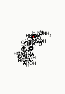 CC(C)[C@H](NC(=O)[C@@H](NC(=O)[C@@H](NC(=O)[C@@H]1CCCN1C(=O)[C@H](CO)NC(=O)[C@H](Cc1ccccc1)NC(=O)[C@H](C)NC(=O)[C@H](C)NC(=O)[C@H](Cc1c[nH]cn1)NC(=O)[C@H](CCC(=O)O)NC(=O)[C@@H]1CCCN1C(=O)[C@@H](N)CC(N)=O)C(C)C)[C@@H](C)O)C(=O)O